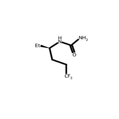 CC[C@H](CCC(F)(F)F)NC(N)=O